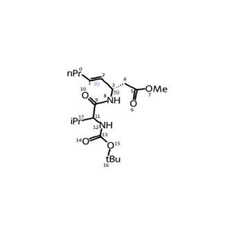 CCC/C=C/[C@H](CC(=O)OC)NC(=O)C(NC(=O)OC(C)(C)C)C(C)C